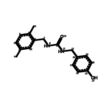 Cc1ccc(C)c(CNC(=O)NCc2ccc(O)cc2)c1